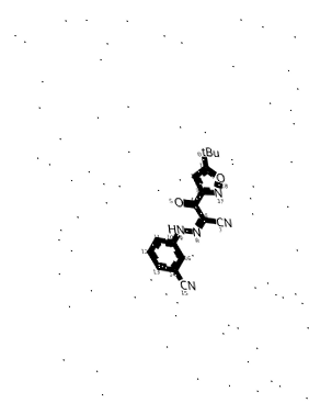 CC(C)(C)c1cc(C(=O)C(C#N)=NNc2cccc(C#N)c2)no1